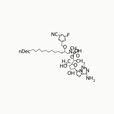 CCCCCCCCCCCCCCCCCCCC[C@H](CN(C)P(=O)(O)O[C@@H](C)[C@@]1(C)O[C@@H](c2ccc3c(N)ncnn23)[C@H](O)[C@@H]1O)OCc1cc(F)cc(C#N)c1